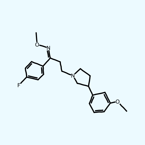 CO/N=C(/CCN1CCC(c2cccc(OC)c2)C1)c1ccc(F)cc1